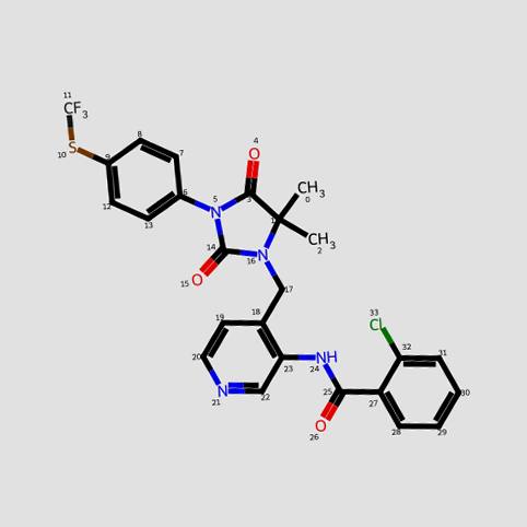 CC1(C)C(=O)N(c2ccc(SC(F)(F)F)cc2)C(=O)N1Cc1ccncc1NC(=O)c1ccccc1Cl